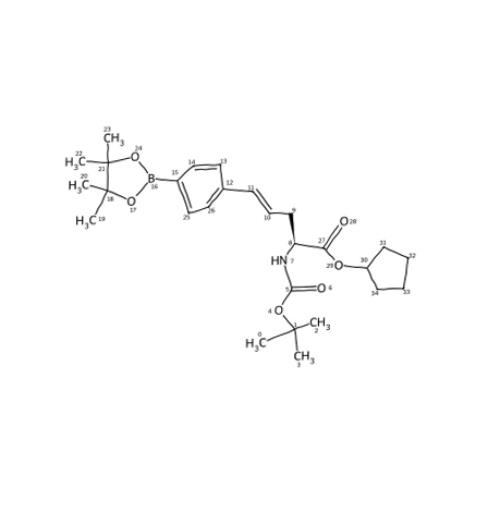 CC(C)(C)OC(=O)N[C@@H](CC=Cc1ccc(B2OC(C)(C)C(C)(C)O2)cc1)C(=O)OC1CCCC1